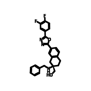 OC[C@]1(NCc2ccccc2)CCc2ccc(-c3nnc(-c4ccc(F)c(F)c4)o3)cc2C1